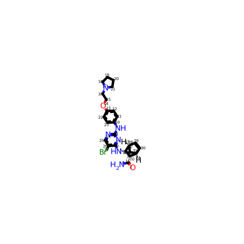 NC(=O)[C@@H]1[C@H](Nc2nc(Nc3ccc(OCCN4CCCC4)cc3)ncc2Br)[C@H]2C=C[C@@H]1C2